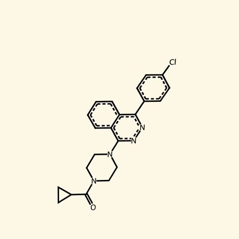 O=C(C1CC1)N1CCN(c2nnc(-c3ccc(Cl)cc3)c3ccccc23)CC1